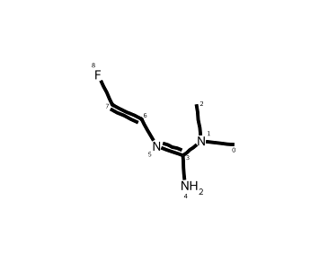 CN(C)/C(N)=N\C=C\F